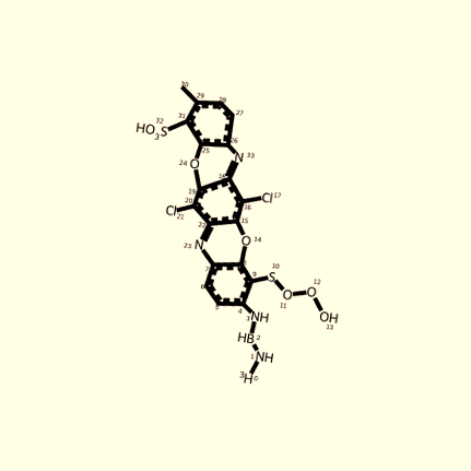 [3H]NBNc1ccc2c(c1SOOO)Oc1c(Cl)c3c(c(Cl)c1=N2)Oc1c(ccc(C)c1S(=O)(=O)O)N=3